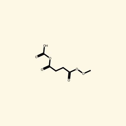 COOC(=O)CCC(=O)OC(=O)O